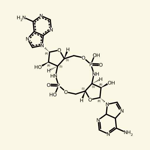 NC1=NC=NC2C1N=CN2[C@@H]1O[C@@H]2COP(=O)(O)N[C@H]3[C@@H](O)[C@H](n4cnc5c(N)ncnc54)O[C@@H]3COP(=O)(O)N[C@H]2[C@H]1O